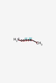 C=CCCC1CCC(C2CC=C(c3ccc(-c4ccc(-c5ccc(CCCCCCCCCC)c(F)c5F)cc4)c(F)c3F)CC2)CC1